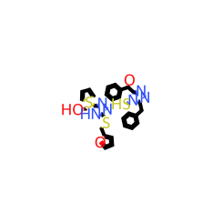 O=C(c1ccccc1)c1nnc(Cc2ccccc2)n1S.OCS1(c2nnc(SCc3ccco3)[nH]2)C=CC=C1